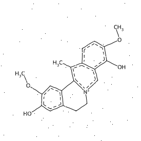 COc1cc2c(cc1O)CC[n+]1cc3c(O)c(OC)ccc3c(C)c1-2